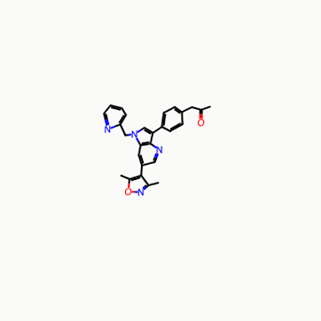 CC(=O)Cc1ccc(-c2cn(Cc3ccccn3)c3cc(-c4c(C)noc4C)cnc23)cc1